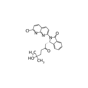 CC(C)(O)CCC(=O)C[C@H]1c2ccccc2C(=O)N1c1ccc2ccc(Cl)nc2n1